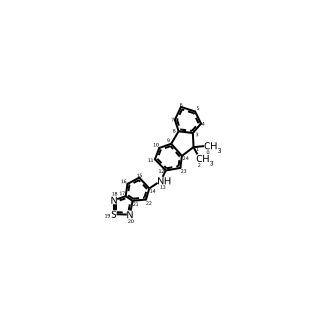 CC1(C)c2ccccc2-c2ccc(Nc3ccc4nsnc4c3)cc21